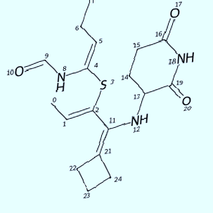 C/C=C(\S/C(=C/CC)NC=O)C(NC1CCC(=O)NC1=O)=C1CCC1